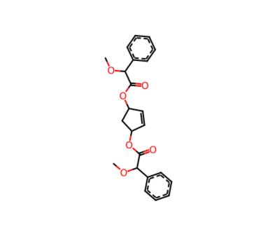 COC(C(=O)OC1C=CC(OC(=O)C(OC)c2ccccc2)C1)c1ccccc1